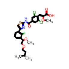 COC(=Cc1c(Cl)cc(C(=O)Nc2nc(-c3cccc(C(COCCC(C)C)OC)c3F)cs2)cc1Cl)C(=O)O